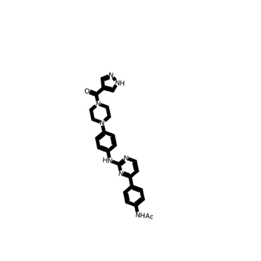 CC(=O)Nc1ccc(-c2ccnc(Nc3ccc(N4CCN(C(=O)c5cn[nH]c5)CC4)cc3)n2)cc1